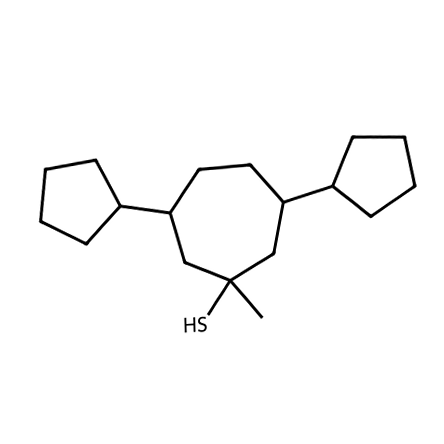 CC1(S)CC(C2CCCC2)CCC(C2CCCC2)C1